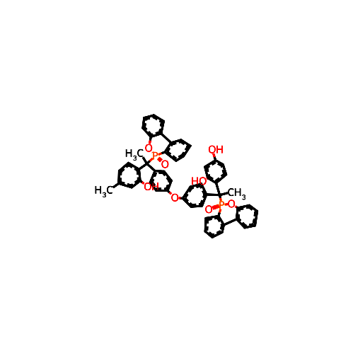 Cc1ccc(C(C)(c2ccc(Oc3ccc(C(C)(c4ccc(O)cc4O)P4(=O)Oc5ccccc5-c5ccccc54)cc3)cc2)P2(=O)Oc3ccccc3-c3ccccc32)c(O)c1